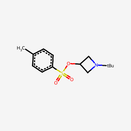 Cc1ccc(S(=O)(=O)OC2CN(C(C)(C)C)C2)cc1